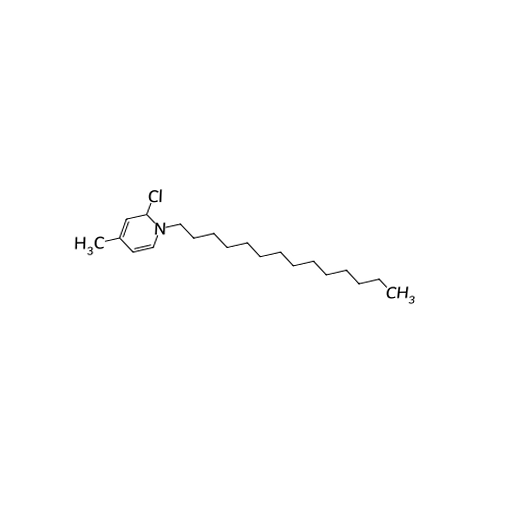 CCCCCCCCCCCCCCN1C=CC(C)=CC1Cl